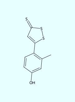 Cc1cc(O)ccc1-c1cc(=S)ss1